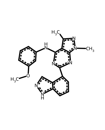 COc1cccc(Nc2nc(-c3cccc4[nH]ncc34)nc3c2c(C)nn3C)c1